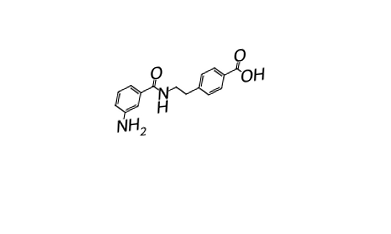 Nc1cccc(C(=O)NCCc2ccc(C(=O)O)cc2)c1